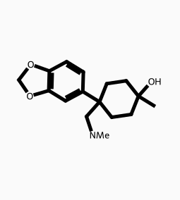 CNCC1(c2ccc3c(c2)OCO3)CCC(C)(O)CC1